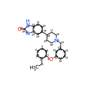 CCc1ccccc1Oc1cccc(CN2CCC(c3ccc4c(c3)[N]C(=O)N4)CC2)c1